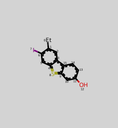 CCc1cc2c(cc1I)sc1cc(O)ccc12